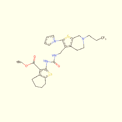 CC(C)(C)OC(=O)c1c(NC(=O)NCc2c(-n3cccc3)sc3c2CCN(CCC(F)(F)F)C3)sc2c1CCCC2